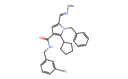 CO/N=C/c1cc(C(=O)NCc2cccc([N+](=O)[O-])c2)c(C2CCCC2)n1Cc1ccccc1